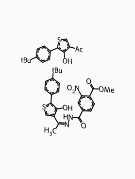 CC(=O)c1csc(-c2ccc(C(C)(C)C)cc2)c1O.COC(=O)c1ccc(C(=O)NN=C(C)c2csc(-c3ccc(C(C)(C)C)cc3)c2O)cc1[N+](=O)[O-]